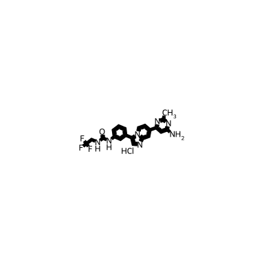 Cc1nc(N)cc(-c2ccn3c(-c4cccc(NC(=O)NCC(F)(F)F)c4)cnc3c2)n1.Cl